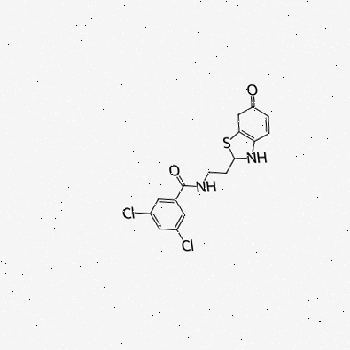 O=C1C=CC2=C(C1)SC(CCNC(=O)c1cc(Cl)cc(Cl)c1)N2